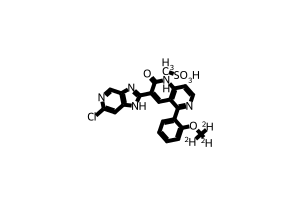 CS(=O)(=O)O.[2H]C([2H])([2H])Oc1ccccc1-c1nccc2[nH]c(=O)c(-c3nc4cnc(Cl)cc4[nH]3)cc12